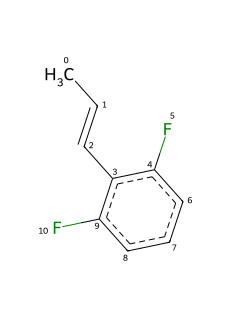 CC=Cc1c(F)cccc1F